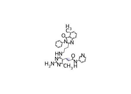 Cc1nc(N)nc(NCCCc2nc3cccc(C)c3c(=O)n2-c2ccccc2)c1/C=C/C(=O)Nc1cccnc1